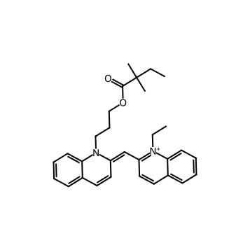 CC[n+]1c(/C=C2\C=Cc3ccccc3N2CCCOC(=O)C(C)(C)CC)ccc2ccccc21